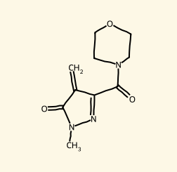 C=C1C(=O)N(C)N=C1C(=O)N1CCOCC1